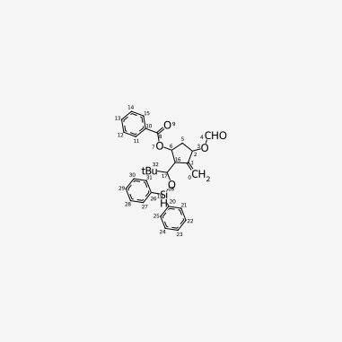 C=C1C(OC=O)CC(OC(=O)c2ccccc2)C1C(O[SiH](c1ccccc1)c1ccccc1)C(C)(C)C